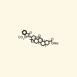 COC(=O)[C@@]1(C)CC[C@]2(C)CC[C@]3(C)C(=CC(=O)[C@@H]4[C@@]5(C)CCC(NC(=O)c6ccccc6C(=O)O)C(C)(C)[C@@H]5CC[C@]43C)[C@]2(C)C1